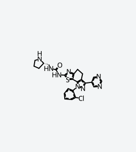 O=C(NC[C@@H]1CCCN1)Nc1nc2c(s1)-c1c(c(-c3cncnc3)nn1-c1ccccc1Cl)CC2